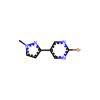 Cn1ccc(-c2cnc(Br)nc2)n1